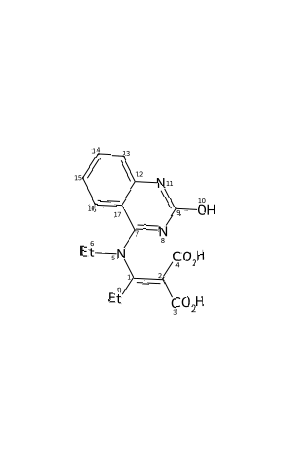 CCC(=C(C(=O)O)C(=O)O)N(CC)c1nc(O)nc2ccccc12